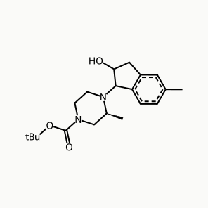 Cc1ccc2c(c1)CC(O)C2N1CCN(C(=O)OC(C)(C)C)C[C@@H]1C